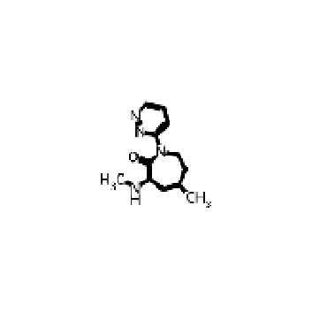 CNC1CC(C)CCN(c2cccnn2)C1=O